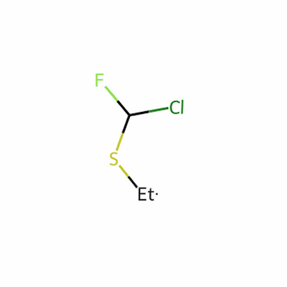 C[CH]SC(F)Cl